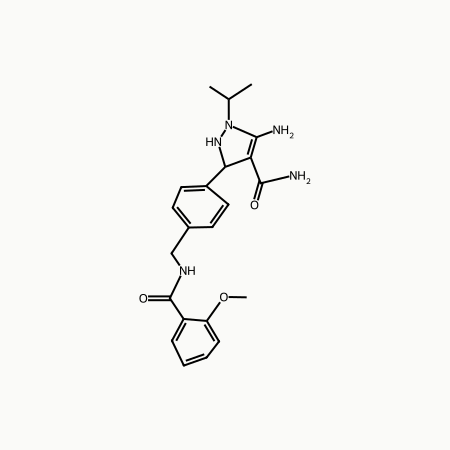 COc1ccccc1C(=O)NCc1ccc(C2NN(C(C)C)C(N)=C2C(N)=O)cc1